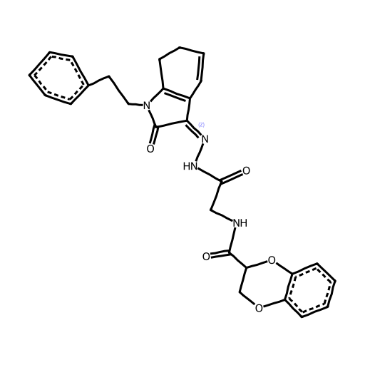 O=C(CNC(=O)C1COc2ccccc2O1)N/N=C1\C(=O)N(CCc2ccccc2)C2=C1C=CCC2